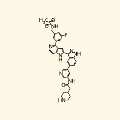 CS(=O)(=O)NCc1cc(F)cc(-c2nccc3[nH]c(-c4n[nH]c5ccc(-c6cncc(NC(=O)CC7CCNCC7)c6)cc45)cc23)c1